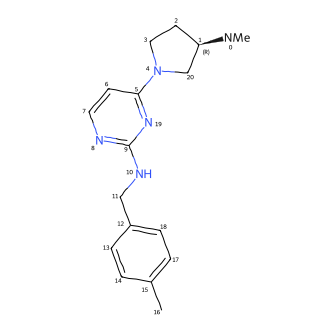 CN[C@@H]1CCN(c2ccnc(NCc3ccc(C)cc3)n2)C1